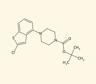 CC(C)(C)OC(=O)N1CCN(c2cccc3sc(Cl)cc23)CC1